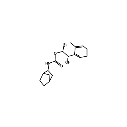 CC[C@H](OC(=O)NC1CC2CCC1C2)[C@@H](O)c1ccccc1I